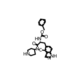 O=C(N[C@@H]1Cc2ccc3[nH]ncc3c2CN(C2CCNCC2)C1=O)OCc1ccccc1